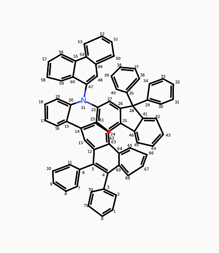 c1ccc(-c2c(-c3ccccc3)c3cc(-c4ccccc4N(c4ccc5c(c4)C(c4ccccc4)(c4ccccc4)c4ccccc4-5)c4cc5ccccc5c5ccccc45)ccc3c3ccccc23)cc1